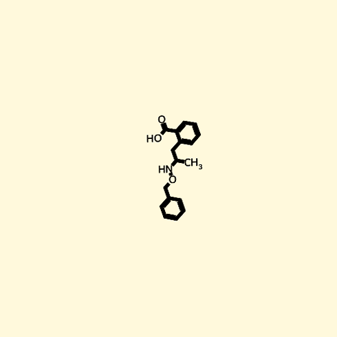 CC(Cc1ccccc1C(=O)O)NOCc1ccccc1